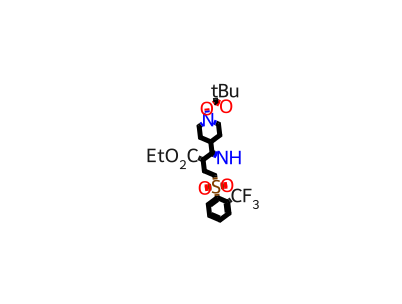 CCOC(=O)C(CCS(=O)(=O)c1ccccc1C(F)(F)F)C(=N)C1CCN(OC(=O)C(C)(C)C)CC1